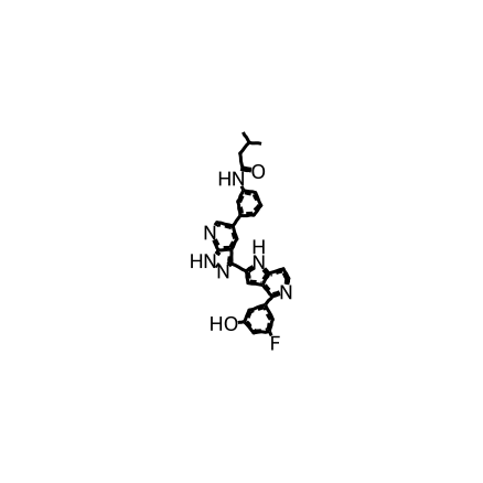 CC(C)CC(=O)Nc1cccc(-c2cnc3[nH]nc(-c4cc5c(-c6cc(O)cc(F)c6)nccc5[nH]4)c3c2)c1